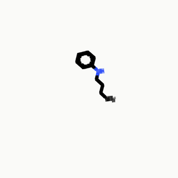 [SiH2]CCCNc1ccccc1